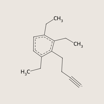 [C]#CCCc1c(CC)ccc(CC)c1CC